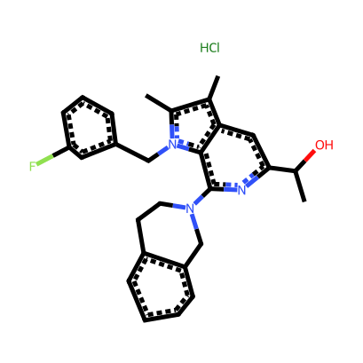 Cc1c(C)n(Cc2cccc(F)c2)c2c(N3CCc4ccccc4C3)nc(C(C)O)cc12.Cl